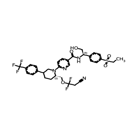 CCS(=O)(=O)c1ccc([C@H](CO)NC(=O)c2ccc(N3CC(c4ccc(C(F)(F)F)cc4)CC[C@H]3COC(F)(F)CC#N)nc2)cc1